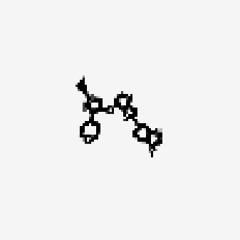 Cn1cnc2cc(-c3cc4nccc(Oc5cn(C6CC6)nc5C5CCOCC5)c4s3)ccc21